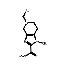 COC(=O)c1nc2c(n1C)CCN(CC(C)=O)C2